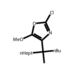 CCCCCCCC(C)(CCCC)c1nc(Cl)oc1OC